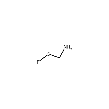 NCSF